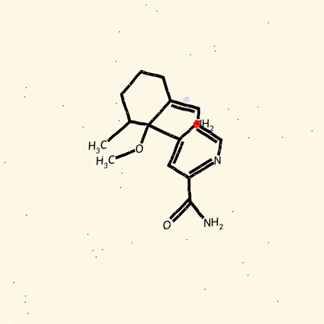 COC1(c2ccnc(C(N)=O)c2)/C(=C\N)CCCC1C